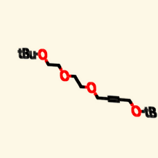 CC(C)(C)OCC#CCOCCOCCOC(C)(C)C